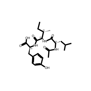 CC[C@H](C)[C@H](NC(=O)[C@H](CC(C)C)NC(C)=O)C(=O)N[C@@H](Cc1ccc(O)cc1)C(=O)O